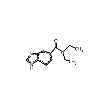 CCN(CC)C(=O)c1ccc2[nH]cnc2c1